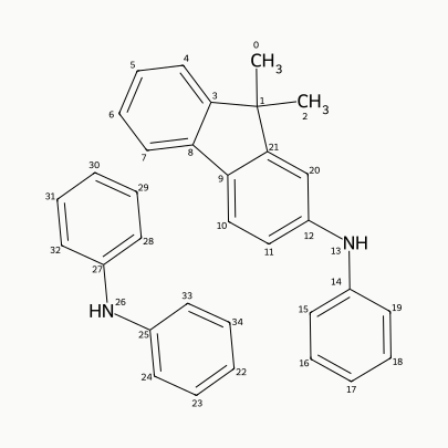 CC1(C)c2ccccc2-c2ccc(Nc3ccccc3)cc21.c1ccc(Nc2ccccc2)cc1